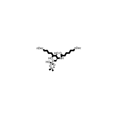 CCCCCCCCCCCCCCCC(=O)N[C@@H](COP(=O)(O)O[N+](C)(C)C)[C@H](O)C(O)CCCCCCCCCCCCCC